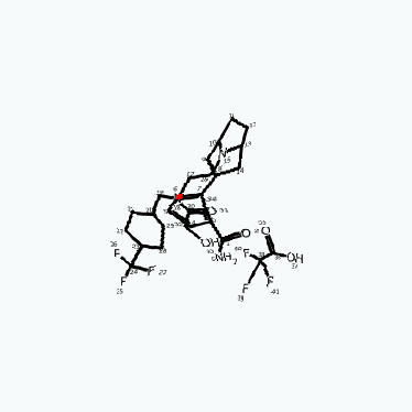 NC(=O)c1cccc(C2CC3CCC(C2)N3CCN(CC2CCC(C(F)(F)F)CC2)C(=O)CO)c1.O=C(O)C(F)(F)F